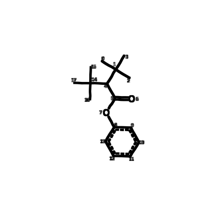 CC(C)(C)C(C(=O)Oc1ccccc1)C(C)(C)C